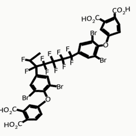 CC(F)C(F)(c1cc(Br)c(Oc2ccc(C(=O)O)c(C(=O)O)c2)c(Br)c1)C(F)(F)C(F)(F)C(F)(F)C(F)(F)c1cc(Br)c(Oc2ccc(C(=O)O)c(C(=O)O)c2)c(Br)c1